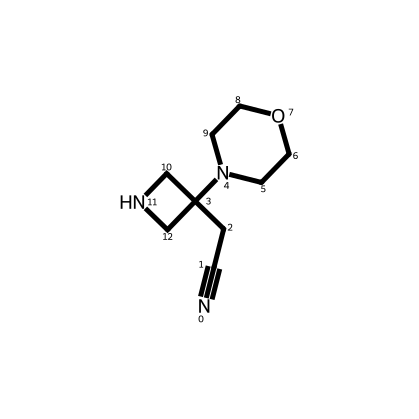 N#CCC1(N2CCOCC2)CNC1